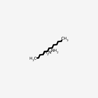 CCCCCCCCCCCCC.NN